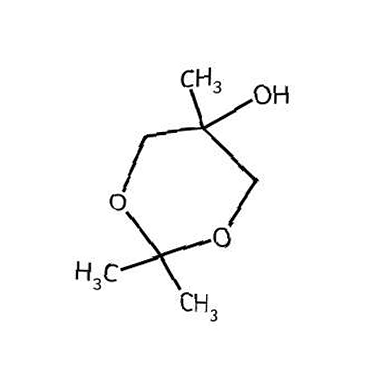 CC1(O)COC(C)(C)OC1